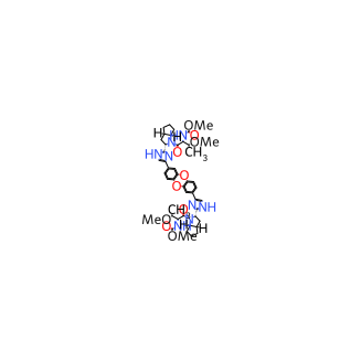 COC(=O)N[C@H](C(=O)N1[C@H](c2nc(-c3ccc4c(c3)Oc3ccc(-c5c[nH]c([C@@H]6C[C@@H]7CCC[C@@H]7N6C(=O)[C@@H](NC(=O)OC)[C@@H](C)OC)n5)cc3O4)c[nH]2)C[C@@H]2CCC[C@@H]21)[C@@H](C)OC